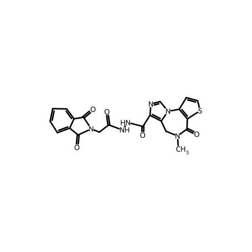 CN1Cc2c(C(=O)NNC(=O)CN3C(=O)c4ccccc4C3=O)ncn2-c2ccsc2C1=O